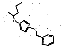 CCCC(C)Oc1ccc(OCc2ccccc2)cc1